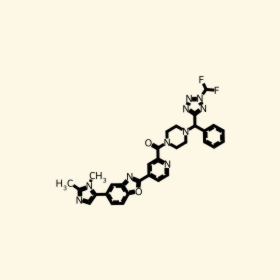 Cc1ncc(-c2ccc3oc(-c4ccnc(C(=O)N5CCN(C(c6ccccc6)c6nnn(C(F)F)n6)CC5)c4)nc3c2)n1C